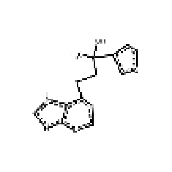 CC(O)(CNc1ncnc2nc[nH]c12)c1ccsc1